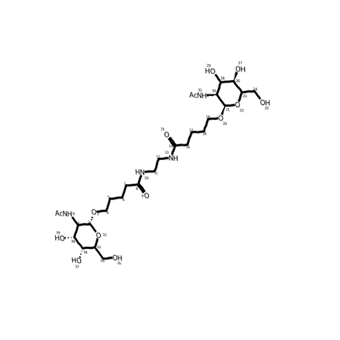 CC(=O)NC1[C@H](OCCCCC(=O)NCCNC(=O)CCCCO[C@@H]2OC(CO)[C@H](O)C(O)[C@@H]2NC(C)=O)OC(CO)[C@H](O)[C@@H]1O